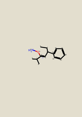 CCC(/C=C(\ON)C(C)C)c1ccccc1